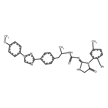 Cc1ccc(C(C)C)c(N2C(=O)CN/C2=N\C(=O)NC(C)Cc2ccc(-c3ncn(-c4ccc(OC(F)(F)F)cc4)n3)cc2)c1